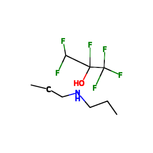 CCCNCCC.OC(F)(C(F)F)C(F)(F)F